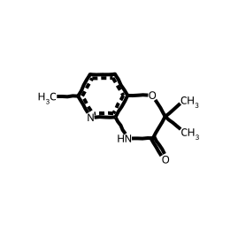 Cc1ccc2c(n1)NC(=O)C(C)(C)O2